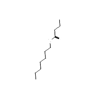 [CH2]CCCCCCNC(=O)CCC